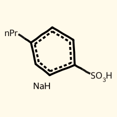 CCCc1ccc(S(=O)(=O)O)cc1.[NaH]